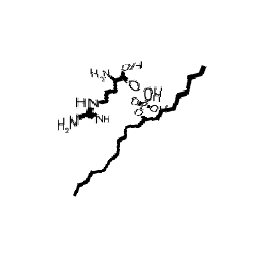 CCCCCCCCCCCC(CCCCCCCC)OP(=O)(O)O.N=C(N)NCCCC(N)C(=O)O